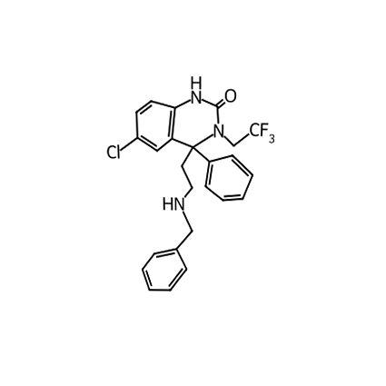 O=C1Nc2ccc(Cl)cc2C(CCNCc2ccccc2)(c2ccccc2)N1CC(F)(F)F